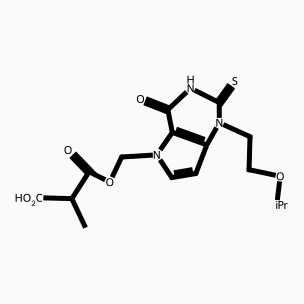 CC(C)OCCn1c(=S)[nH]c(=O)c2c1ccn2COC(=O)C(C)C(=O)O